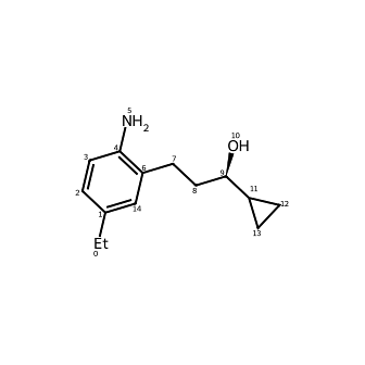 CCc1ccc(N)c(CC[C@@H](O)C2CC2)c1